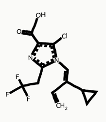 C=C/C(=C\n1c(CC(F)(F)F)nc(C(=O)O)c1Cl)C1CC1